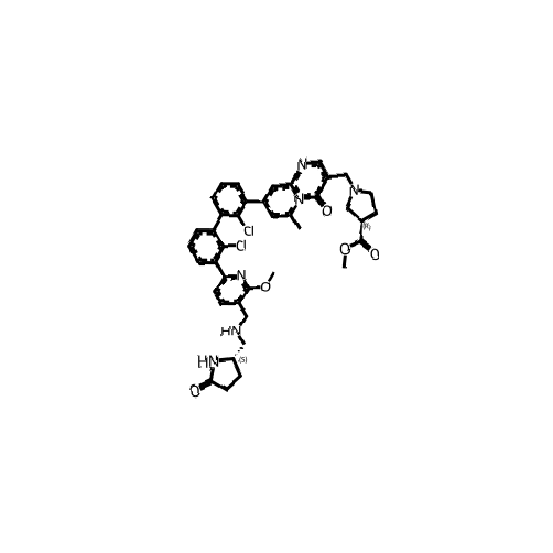 COC(=O)[C@@H]1CCN(Cc2cnc3cc(-c4cccc(-c5cccc(-c6ccc(CNC[C@@H]7CCC(=O)N7)c(OC)n6)c5Cl)c4Cl)cc(C)n3c2=O)C1